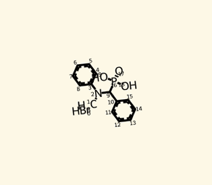 Br.CN(c1ccccc1)C(c1ccccc1)P(=O)(O)O